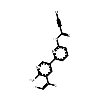 CCC#CC(=O)Nc1cccc(-c2cnc(C)c(/C(Cl)=C\CC)c2)n1